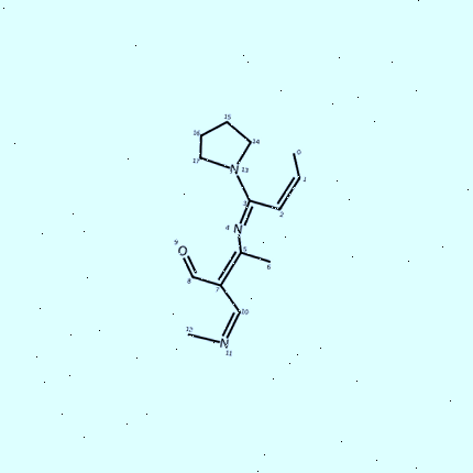 C\C=C/C(=N\C(C)=C(C=O)\C=N/C)N1CCCC1